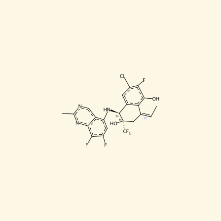 C/C=C1/C[C@](O)(C(F)(F)F)[C@@H](Nc2cc(F)c(F)c3nc(C)ncc23)c2cc(Cl)c(F)c(O)c21